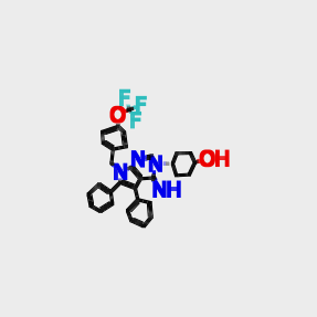 N=c1c2c(-c3ccccc3)c(-c3ccccc3)n(Cc3ccc(OC(F)(F)F)cc3)c2ncn1[C@H]1CC[C@H](O)CC1